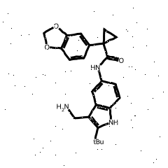 CC(C)(C)c1[nH]c2ccc(NC(=O)C3(c4ccc5c(c4)OCO5)CC3)cc2c1CN